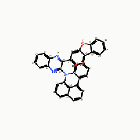 c1ccc2c(c1)-c1cccc3cccc(c13)N2c1nc2ccccc2nc1-c1ccc2c(c1)oc1ccccc12